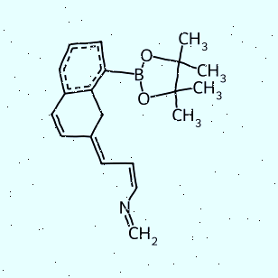 C=N/C=C\C=C1\C=Cc2cccc(B3OC(C)(C)C(C)(C)O3)c2C1